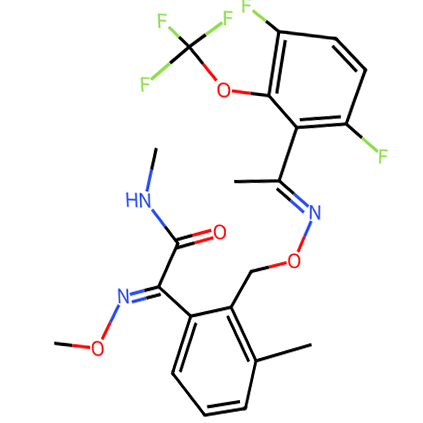 CNC(=O)/C(=N/OC)c1cccc(C)c1CO/N=C(\C)c1c(F)ccc(F)c1OC(F)(F)F